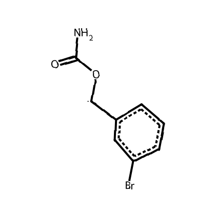 NC(=O)O[CH]c1cccc(Br)c1